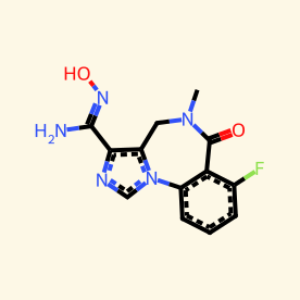 CN1Cc2c(C(N)=NO)ncn2-c2cccc(F)c2C1=O